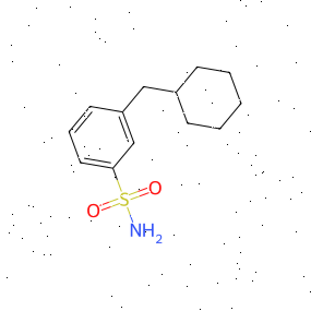 NS(=O)(=O)c1cccc(CC2CCCCC2)c1